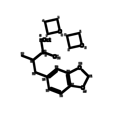 C1COC1.C1COC1.CCCCCCCC[S+]([O-])C(C)Cc1ccc2c(c1)OCO2